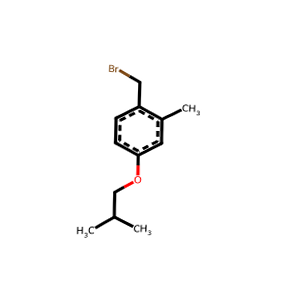 Cc1cc(OCC(C)C)ccc1CBr